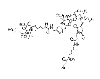 CC(=O)CCC(=O)N(O)CCCCCNC(=O)CCN1C(=O)CC(SC[C@H](NC(=O)[C@H](CC(=O)O)NC(=O)[C@H](CC(=O)O)NC(=O)Cc2ccc(CNC(=O)NCCCC[C@H](NC(=O)N[C@@H](CCC(=O)O)C(=O)O)C(=O)O)cc2)C(=O)O)C1=O